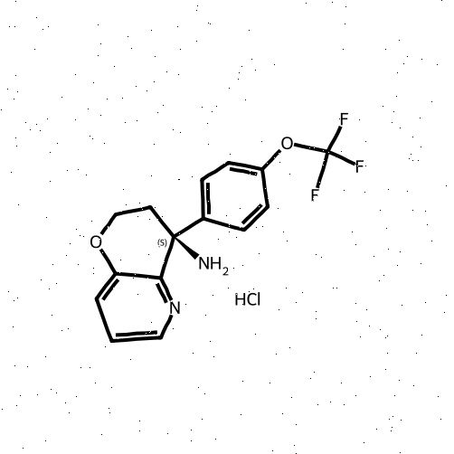 Cl.N[C@]1(c2ccc(OC(F)(F)F)cc2)CCOc2cccnc21